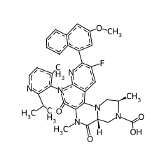 COc1cc(-c2nc3c(cc2F)c2c(c(=O)n3-c3c(C)ccnc3C(C)C)N(C)C(=O)[C@H]3CN(C(=O)O)[C@H](C)CN23)c2ccccc2c1